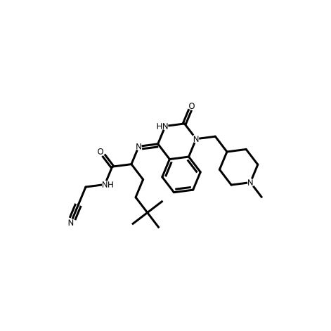 CN1CCC(Cn2c(=O)[nH]/c(=N/C(CCC(C)(C)C)C(=O)NCC#N)c3ccccc32)CC1